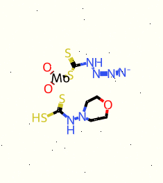 S=C(S)NN1CCOCC1.[N-]=[N+]=NNC(=S)[S][Mo](=[O])=[O]